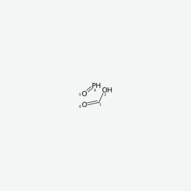 O=CO.O=P